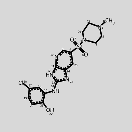 CN1CCN(S(=O)(=O)c2cnc3[nH]c(Nc4cc(Cl)ccc4O)nc3c2)CC1